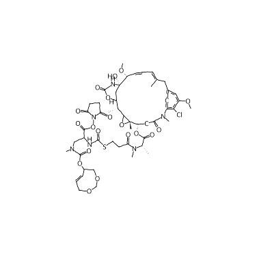 COc1cc2cc(c1Cl)N(C)C(=O)C[C@H](OC(=O)[C@H](C)N(C)C(=O)CCSC(=O)NC(CN(C)C(=O)OC1/C=C/COCOC1)C(=O)ON1C(=O)CCC1=O)[C@]1(C)OC1[C@H](C)[C@@H]1C[C@@](O)(NC(=O)O1)[C@H](OC)/C=C/C=C(\C)C2